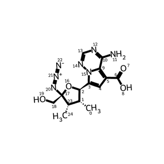 C[C@H]1[C@H](c2cc(C(=O)O)c3c(N)ncnn23)O[C@@](CO)(N=[N+]=[N-])[C@H]1C